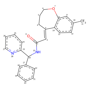 O=C(C=C1CCCOc2cc(C(F)(F)F)ccc21)NC(c1ccccc1)c1ccccn1